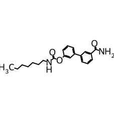 CCCCCCCNC(=O)Oc1cccc(-c2cccc(C(N)=O)c2)c1